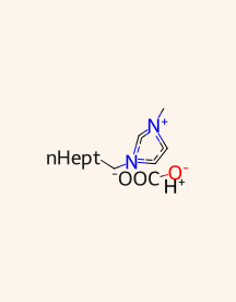 CCCCCCCCn1cc[n+](C)c1.O=C([O-])[O-].[H+]